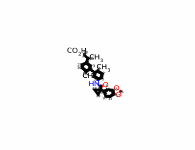 Cc1ccc(NC(=O)C2(c3ccc4c(c3)OCO4)CC2)cc1-c1cc(C(C)CC(=O)O)ccc1C